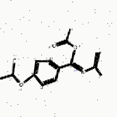 C=C(C)/N=C(\OC(C)=O)c1ccc(OC(C)F)cc1